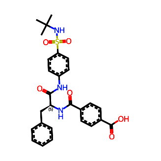 CC(C)(C)NS(=O)(=O)c1ccc(NC(=O)[C@H](Cc2ccccc2)NC(=O)c2ccc(C(=O)O)cc2)cc1